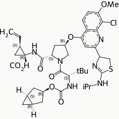 C=C[C@@H]1C[C@]1(NC(=O)[C@@H]1C[C@@H](Oc2cc(C3CSC(NC(C)C)=N3)nc3c(Cl)c(OC)ccc23)CN1C(=O)[C@@H](NC(=O)O[C@@H]1C[C@@H]2C[C@@H]2C1)C(C)(C)C)C(=O)O